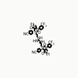 CCN1CC2=C(C1=O)[C@@H](c1ccc(C#N)cc1)N(CCCNC(=N)NCCCN1C(=O)N(c3cccc(C(F)(F)F)c3)C3=C(C(=O)N(CC)C3)[C@H]1c1ccc(C#N)cc1)C(=O)N2c1cccc(C(F)(F)F)c1